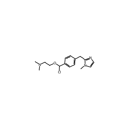 CN(C)CCOC(Cl)c1ccc(Cc2nccn2C)cc1